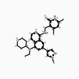 CCN(c1cc(-c2cnn(C)c2)cc2c(NCc3c(C)cc(C)[nH]c3=O)nccc12)C1CCOCC1